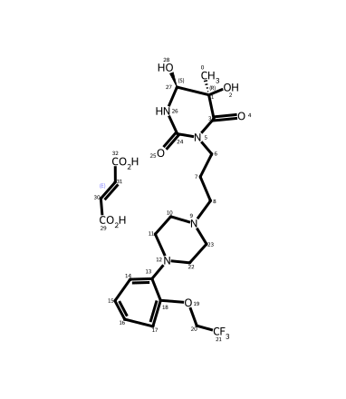 C[C@]1(O)C(=O)N(CCCN2CCN(c3ccccc3OCC(F)(F)F)CC2)C(=O)N[C@H]1O.O=C(O)/C=C/C(=O)O